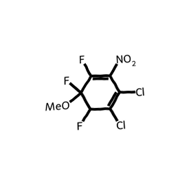 COC1(F)C(F)=C([N+](=O)[O-])C(Cl)=C(Cl)C1F